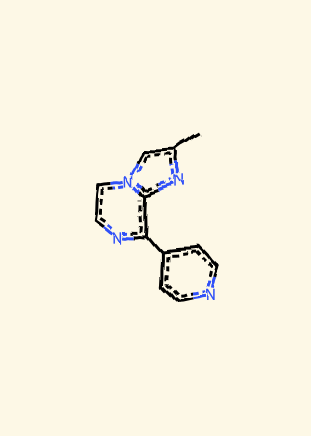 Cc1cn2ccnc(-c3ccncc3)c2n1